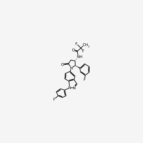 CC(F)(F)C(=O)N[C@H]1CC(=O)N(c2ccc3c(cnn3-c3ccc(F)cc3)c2)[C@@H]1c1cccc(F)c1